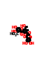 Cc1c(C(=O)C2(O)COc3cc(O)c(O)cc3C2=O)cc2c(=O)c3c(C(=O)O)c(O)c(O)cc3oc2c1C(C)O